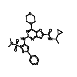 CC(NC(=O)c1cc2nc(Nc3cc(-c4ccccc4)nn3S(=O)(=O)N(C)C)nc(N3CCOCC3)c2o1)C1CC1